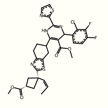 C/C=C\[C@]1(c2nc3c(s2)CC(C2=C(C(=O)OC)C(c4ccc(F)c(F)c4Cl)N=C(c4nccs4)N2)CC3)C[C@@H](C(=O)OC)C1